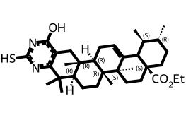 CCOC(=O)[C@]12CC[C@@H](C)[C@H](C)C1C1=CC[C@@H]3[C@@]4(C)Cc5c(O)nc(S)nc5C(C)(C)[C@@H]4CC[C@@]3(C)[C@]1(C)CC2